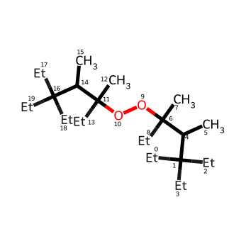 CCC(CC)(CC)C(C)C(C)(CC)OOC(C)(CC)C(C)C(CC)(CC)CC